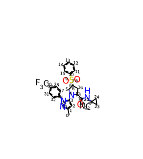 Cc1cc(N2C[C@H](S(=O)(=O)c3ccccc3)C[C@H]2C(=O)NC2(C#N)CC2)n(-c2ccc(C(F)(F)F)cc2)n1